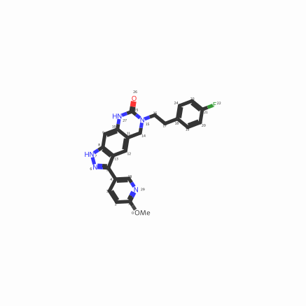 COc1ccc(-c2n[nH]c3cc4c(cc23)CN(CCc2ccc(F)cc2)C(=O)N4)cn1